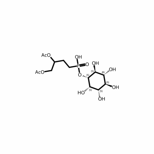 CC(=O)OCC(CCP(=O)(O)O[C@@H]1[C@@H](O)[C@H](O)[C@@H](O)[C@H](O)[C@@H]1O)OC(C)=O